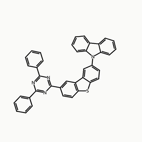 c1ccc(-c2nc(-c3ccccc3)nc(-c3ccc4sc5ccc(-n6c7ccccc7c7ccccc76)cc5c4c3)n2)cc1